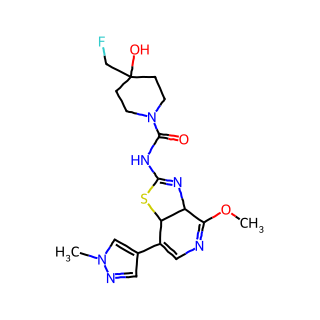 COC1=NC=C(c2cnn(C)c2)C2SC(NC(=O)N3CCC(O)(CF)CC3)=NC12